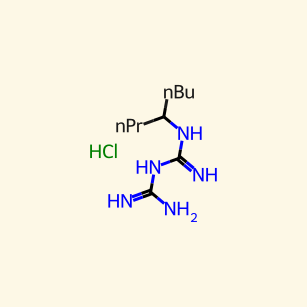 CCCCC(CCC)NC(=N)NC(=N)N.Cl